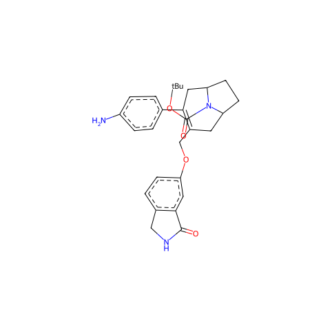 CC(C)(C)OC(=O)N1C2CCC1CC(c1ccc(N)cc1)=C(COc1ccc3c(c1)C(=O)NC3)C2